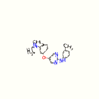 Cc1cccc(Nc2ncc(Oc3cccc(N(C)C)c3)cn2)c1